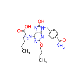 CCCCCC(=O)O.CCCCOc1nc(N)c2nc(O)n(Cc3ccc(C(N)=O)cc3)c2n1